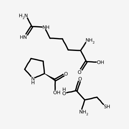 N=C(N)NCCCC(N)C(=O)O.NC(CS)C(=O)O.O=C(O)[C@@H]1CCCN1